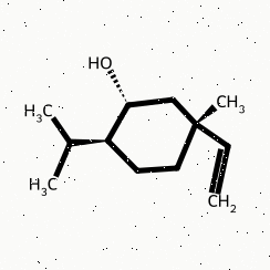 C=C[C@]1(C)CC[C@@H](C(C)C)[C@H](O)C1